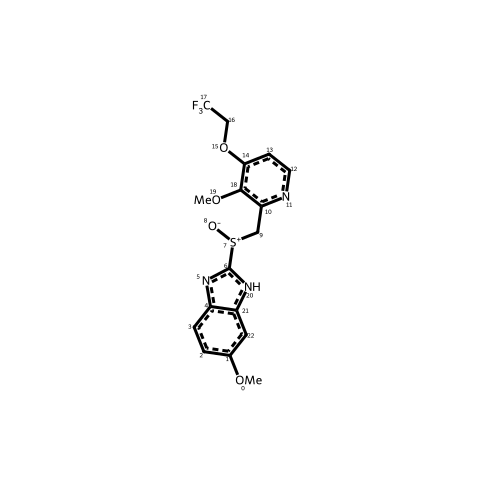 COc1ccc2nc([S+]([O-])Cc3nccc(OCC(F)(F)F)c3OC)[nH]c2c1